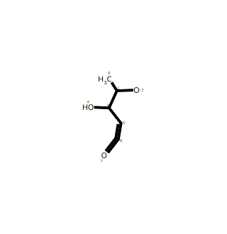 CC([O])C(O)C=C=O